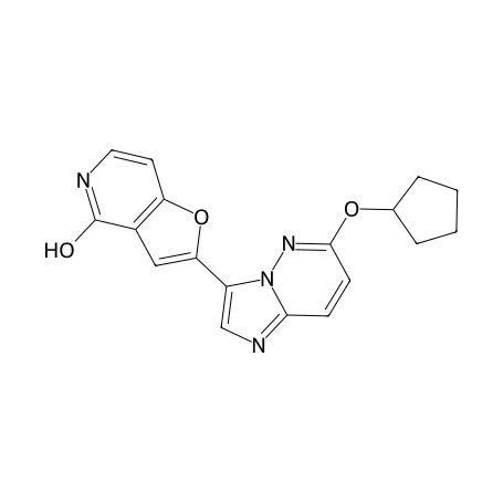 Oc1nccc2oc(-c3cnc4ccc(OC5CCCC5)nn34)cc12